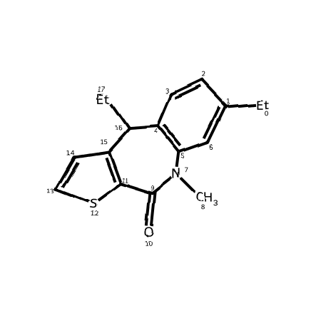 CCc1ccc2c(c1)N(C)C(=O)c1sccc1C2CC